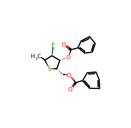 CC1S[C@@H](COC(=O)c2ccccc2)[C@@H](OC(=O)c2ccccc2)[C@@H]1F